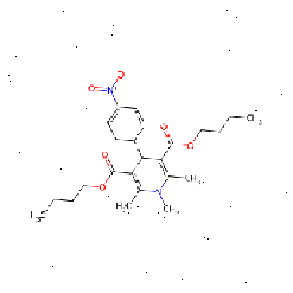 CCCCOC(=O)C1=C(C)N(C)C(C)=C(C(=O)OCCCC)C1c1ccc([N+](=O)[O-])cc1